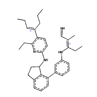 CC/C=C(\CCC)c1ccc(NC2CCc3cccc(-c4cccc(N/C(CC)=C(/C)C=N)c4)c32)nc1CC